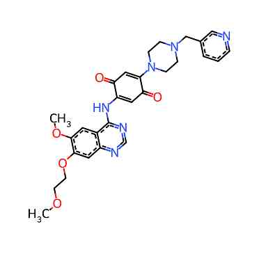 COCCOc1cc2ncnc(NC3=CC(=O)C(N4CCN(Cc5cccnc5)CC4)=CC3=O)c2cc1OC